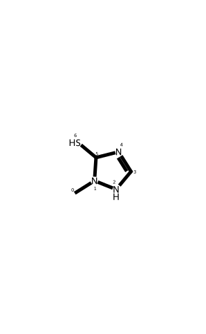 CN1NC=NC1S